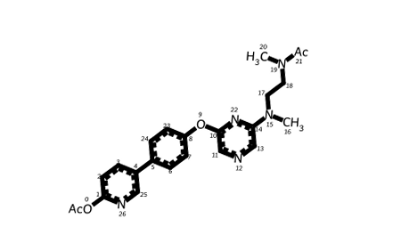 CC(=O)Oc1ccc(-c2ccc(Oc3cncc(N(C)CCN(C)C(C)=O)n3)cc2)cn1